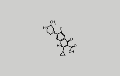 CC1CN(c2cc3[nH]c(C4CC4)c(C(=O)O)c(=O)c3cc2F)CCN1